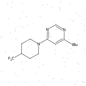 CC(C)(C)c1cc(N2CCC(C(F)(F)F)CC2)ncn1